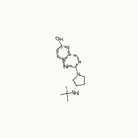 CC(C)(C)N[C@H]1CCN(c2ncc3nc(O)ccc3n2)C1